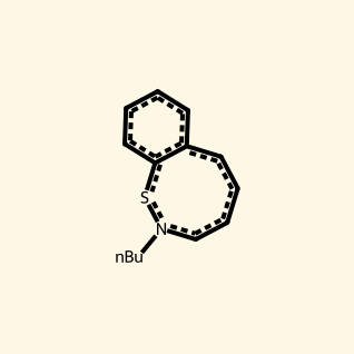 CCCCn1ccccc2ccccc2s1